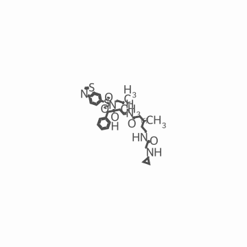 CC(C)CN(C(O)(CCNC(=O)C[C@@H](C)CCNC(=O)CNC1CC1)Cc1ccccc1)S(=O)(=O)c1ccc2ncsc2c1